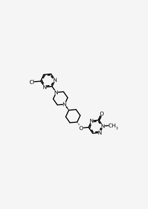 Cn1ncc(O[C@H]2CC[C@H](N3CCN(c4nccc(Cl)n4)CC3)CC2)nc1=O